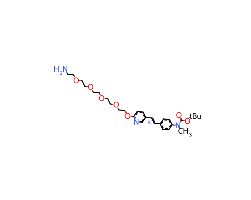 CN(C(=O)OC(C)(C)C)c1ccc(/C=C/c2ccc(OCCOCCOCCOCCOCCN)nc2)cc1